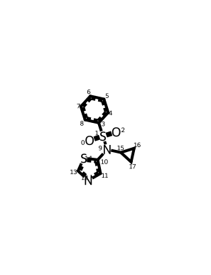 O=S(=O)(c1ccccc1)N(c1cncs1)C1CC1